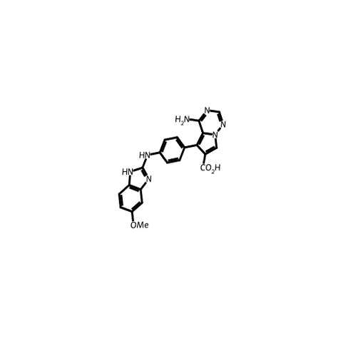 COc1ccc2[nH]c(Nc3ccc(-c4c(C(=O)O)cn5ncnc(N)c45)cc3)nc2c1